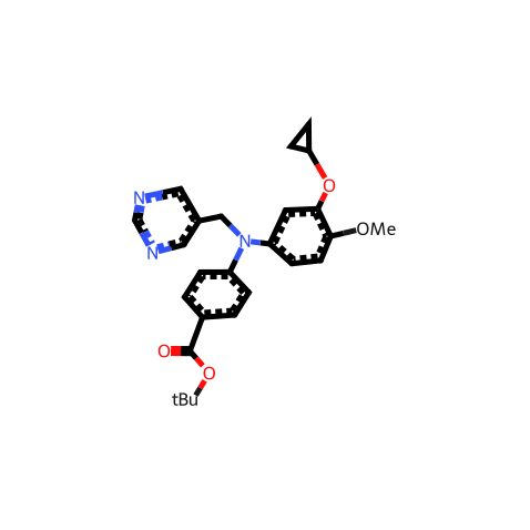 COc1ccc(N(Cc2cncnc2)c2ccc(C(=O)OC(C)(C)C)cc2)cc1OC1CC1